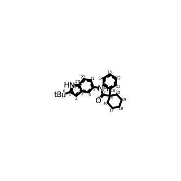 CC(C)(C)c1cc2cc(NC(=O)C3(c4ccccc4)CCCCC3)ccc2[nH]1